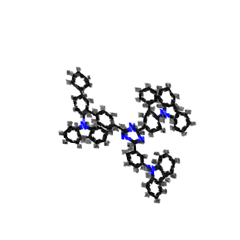 c1ccc(-c2ccc(-n3c4ccccc4c4ccccc43)c(-c3ccc(-c4nc(-c5cccc(-n6c7ccccc7c7ccccc76)c5)nc(-c5ccc(-n6c7ccccc7c7ccccc76)c(-c6ccccc6)c5)n4)cc3)c2)cc1